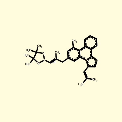 CC(C)=Cc1cnc2c3ccccc3c3c(C)cc(C/C(C)=C/B4OC(C)(C)C(C)(C)O4)cc3n12